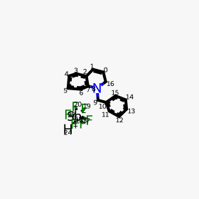 C1=Cc2ccccc2N(Cc2ccccc2)C1.[F][Sb-]([F])([F])([F])([F])[F].[H+]